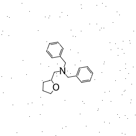 c1ccc(CN(Cc2ccccc2)CC2CCCO2)cc1